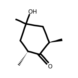 C[C@@H]1CC(C)(O)C[C@@H](C)C1=O